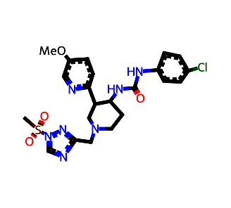 COc1ccc(C2CN(Cc3ncn(S(C)(=O)=O)n3)CCC2NC(=O)Nc2ccc(Cl)cc2)nc1